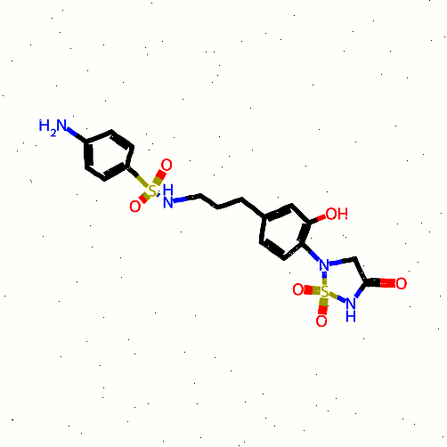 Nc1ccc(S(=O)(=O)NCCCc2ccc(N3CC(=O)NS3(=O)=O)c(O)c2)cc1